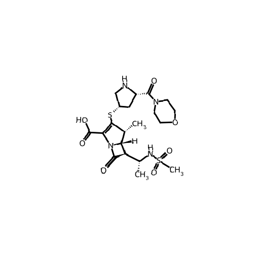 C[C@@H](NS(C)(=O)=O)[C@H]1C(=O)N2C(C(=O)O)=C(S[C@@H]3CN[C@H](C(=O)N4CCOCC4)C3)[C@H](C)[C@H]12